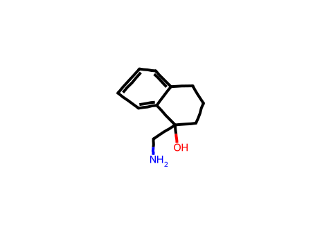 NCC1(O)CCCc2ccccc21